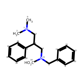 CN(C)CC(CN(Cc1ccccc1)C(=O)O)c1ccccc1